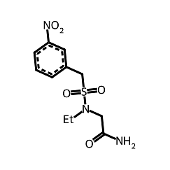 CCN(CC(N)=O)S(=O)(=O)Cc1cccc([N+](=O)[O-])c1